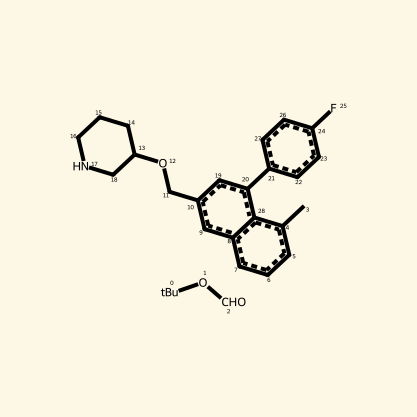 CC(C)(C)OC=O.Cc1cccc2cc(COC3CCCNC3)cc(-c3ccc(F)cc3)c12